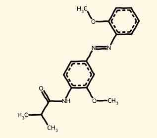 COc1ccccc1N=Nc1ccc(NC(=O)C(C)C)c(OC)c1